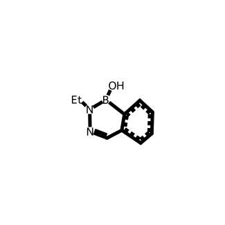 CCN1N=Cc2ccccc2B1O